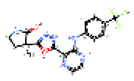 C[C@]1(c2nnc(-c3nccnc3Nc3ccc(C(F)(F)F)cc3)o2)CCNC1=O